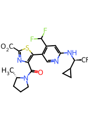 C[C@H]1CCCN1C(=O)c1nc(C(=O)O)sc1-c1cnc(N[C@H](C2CC2)C(F)(F)F)cc1C(F)F